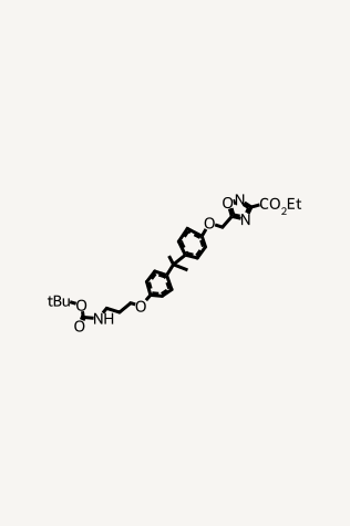 CCOC(=O)c1noc(COc2ccc(C(C)(C)c3ccc(OCCCNC(=O)OC(C)(C)C)cc3)cc2)n1